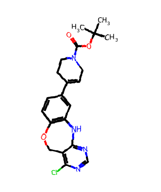 CC(C)(C)OC(=O)N1CC=C(c2ccc3c(c2)Nc2ncnc(Cl)c2CO3)CC1